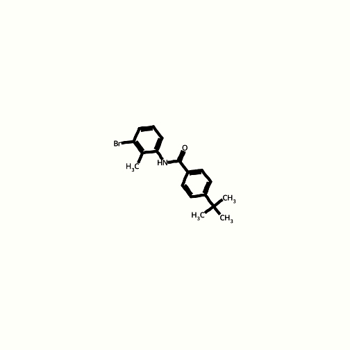 Cc1c(Br)cccc1NC(=O)c1ccc(C(C)(C)C)cc1